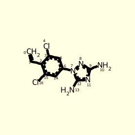 C=Cc1c(Cl)cc(-n2nc(N)nc2N)cc1Cl